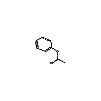 CC([NH])Oc1ccccc1